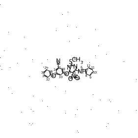 CSc1nc(NCc2ccccc2)c([N+](=O)[O-])c(Oc2cc(C#N)cc(Oc3ccccc3)c2)n1